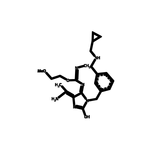 C\N=C(/N=C1\C(=C(/C)N)N=C(O)N1Cc1cccc(CNCC2CC2)c1)OCCOC